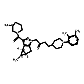 Cc1cccc(N2CCC(CCC(=O)Cn3nc(C(=O)N4CCC[C@H](C)C4)c4c3C[C@H]3[C@@H](C)[C@@H]43)CC2)c1C